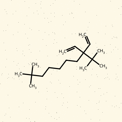 C=CC(C=C)(CCCCCC(C)(C)C)C(C)(C)C